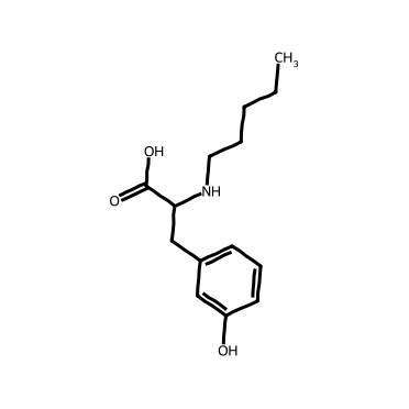 CCCCCNC(Cc1cccc(O)c1)C(=O)O